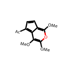 COc1oc(OC)c(OC)c2c(C(C)=O)ccc1-2